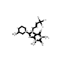 Cn1c(=O)c2c(nc(N3CCCC(N)C3)n2CC=CC(F)(F)F)n(C)c1=O